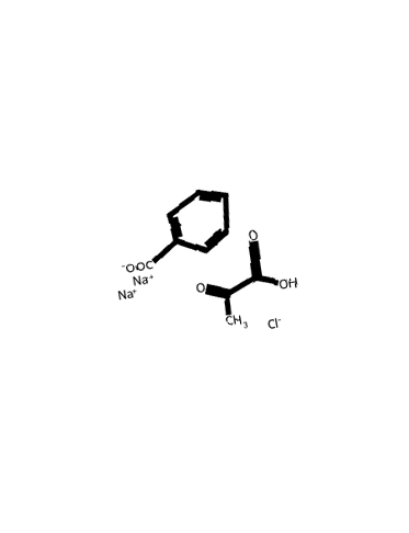 CC(=O)C(=O)O.O=C([O-])c1ccccc1.[Cl-].[Na+].[Na+]